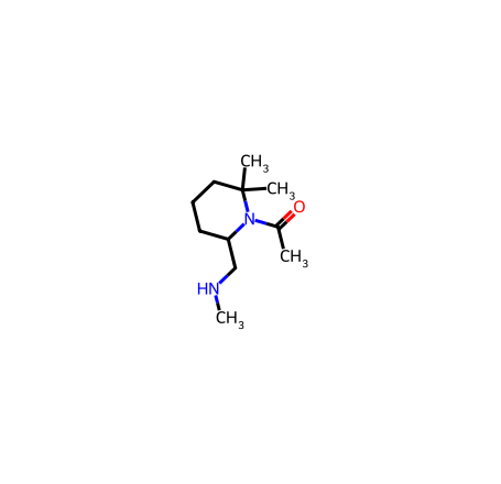 CNCC1CCCC(C)(C)N1C(C)=O